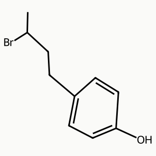 CC(Br)CCc1ccc(O)cc1